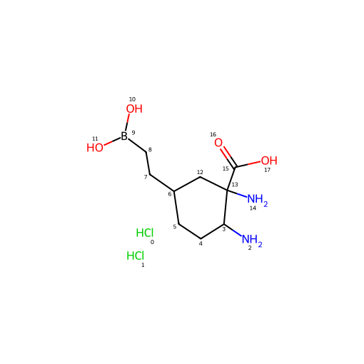 Cl.Cl.NC1CCC(CCB(O)O)CC1(N)C(=O)O